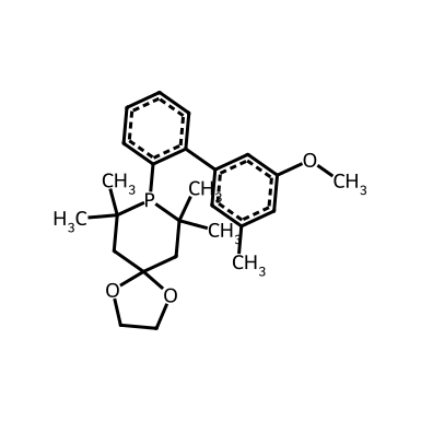 COc1cc(C)cc(-c2ccccc2P2C(C)(C)CC3(CC2(C)C)OCCO3)c1